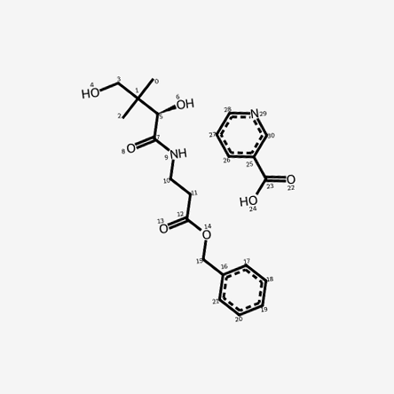 CC(C)(CO)[C@@H](O)C(=O)NCCC(=O)OCc1ccccc1.O=C(O)c1cccnc1